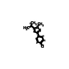 CC(C)c1cc(-c2ccc(Cl)cc2)nn1C